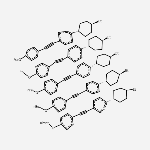 CCCCCOc1ccc(C#Cc2ccc([C@H]3CC[C@H](CC)CC3)cc2)cc1.CCCCOc1ccc(C#Cc2ccc([C@H]3CC[C@H](CC)CC3)cc2)cc1.CCCOc1ccc(C#Cc2ccc([C@H]3CC[C@H](CC)CC3)cc2)cc1.CCOc1ccc(C#Cc2ccc([C@H]3CC[C@H](CC)CC3)cc2)cc1.CC[C@H]1CC[C@H](c2ccc(C#Cc3ccc(OC)cc3)cc2)CC1